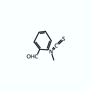 CN=C=S.O=Cc1ccccc1